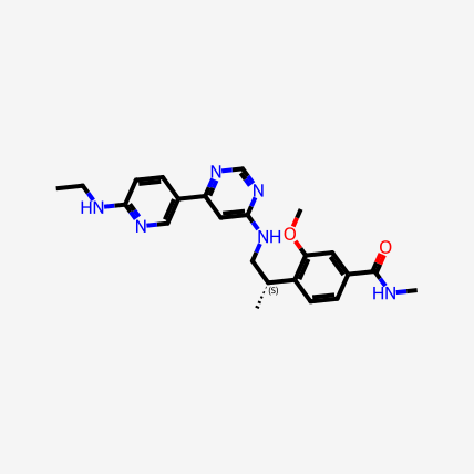 CCNc1ccc(-c2cc(NC[C@@H](C)c3ccc(C(=O)NC)cc3OC)ncn2)cn1